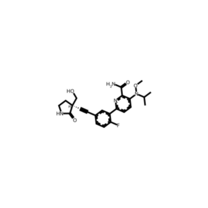 CON(c1ccc(-c2cc(C#C[C@@]3(CO)CCNC3=O)ccc2F)nc1C(N)=O)C(C)C